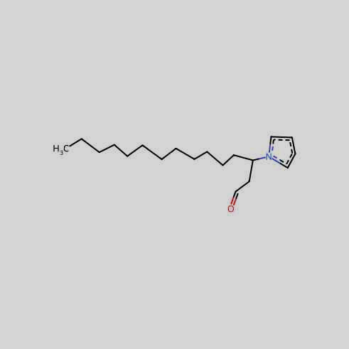 CCCCCCCCCCCCC(CC=O)n1cccc1